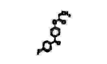 C=CC(=O)Oc1ccc(C(=O)c2ccc(F)cc2)cc1